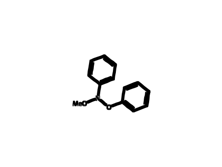 CON(Oc1ccccc1)c1ccccc1